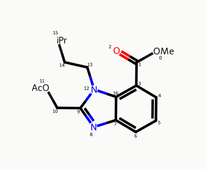 COC(=O)c1cccc2nc(COC(C)=O)n(CCC(C)C)c12